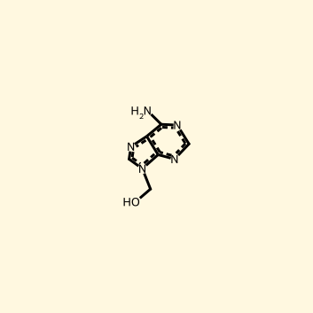 Nc1ncnc2c1ncn2CO